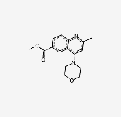 COC(=O)c1ccc2nc(C)cc(N3CCOCC3)c2c1